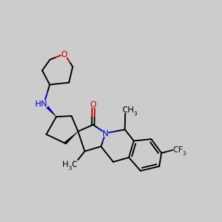 CC1c2cc(C(F)(F)F)ccc2CC2C(C)[C@@]3(CC[C@@H](NC4CCOCC4)C3)C(=O)N12